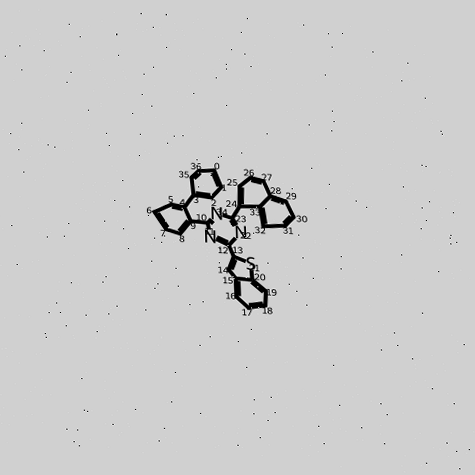 c1ccc(-c2ccccc2-c2nc(-c3cc4ccccc4s3)nc(-c3cccc4ccccc34)n2)cc1